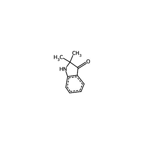 CC1(C)Nc2ccccc2C1=O